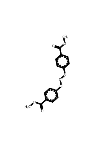 COC(=O)c1ccc(SOSc2ccc(C(=O)OC)cc2)cc1